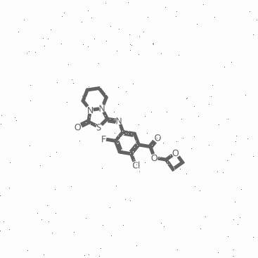 O=C(OC1CCO1)c1cc(N=c2sc(=O)n3n2CCCC3)c(F)cc1Cl